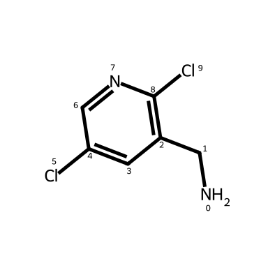 NCc1cc(Cl)cnc1Cl